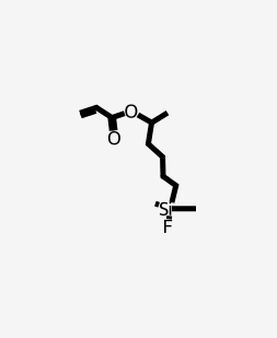 C=CC(=O)OC(C)CCCC[Si](C)(C)F